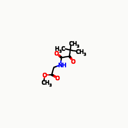 COC(=O)CNC(=O)C(=O)C(C)(C)C